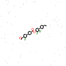 C=Cc1ccc(-c2ccc(OC(=O)c3ccc(-c4ccc(C5CO5)c(F)c4)cc3)c(F)c2F)cc1